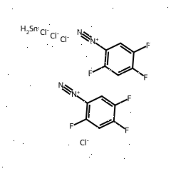 N#[N+]c1cc(F)c(F)cc1F.N#[N+]c1cc(F)c(F)cc1F.[Cl-].[Cl-].[Cl-].[Cl-].[SnH2]